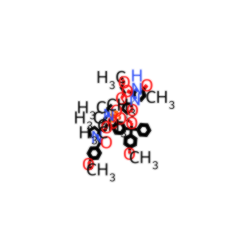 COCCO[C@@H]1[C@H](OP(=O)(OCC[C@@H]2CCCN2C(=O)c2ccc(OC)cc2)N(C(C)C)C(C)C)[C@@H](COC(c2ccccc2)(c2ccc(OC)cc2)c2ccc(OC)cc2)O[C@H]1n1cc(C)c(=O)[nH]c1=O